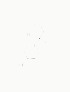 BC1CCN(C(C)(C)CC)CC1